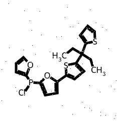 CCC(CC)(c1cccs1)c1ccc(-c2ccc(P(Cl)c3ccco3)o2)s1